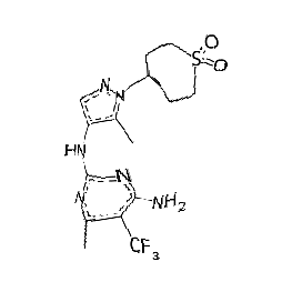 Cc1nc(Nc2cnn(C3CCS(=O)(=O)CC3)c2C)nc(N)c1C(F)(F)F